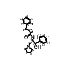 O=C(N[C@H](CN1CCCC1)[C@H](O)c1ccccc1)OCc1ccccc1